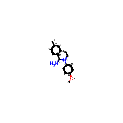 CCN(c1ccc(OC)cc1)C(N)c1ccc(C)cc1